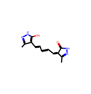 CC1=NNC(=O)C1=CC=CC=Cc1c(C)n[nH]c1O